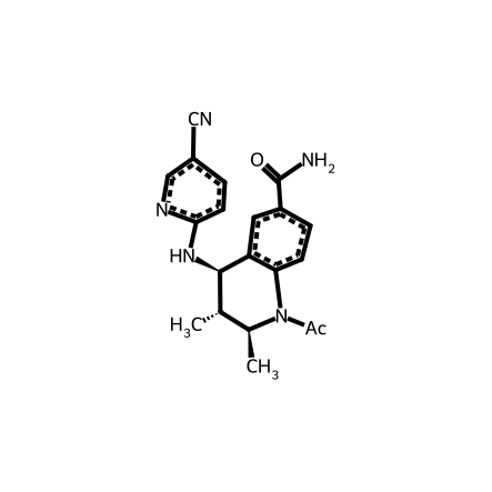 CC(=O)N1c2ccc(C(N)=O)cc2[C@H](Nc2ccc(C#N)cn2)[C@@H](C)[C@@H]1C